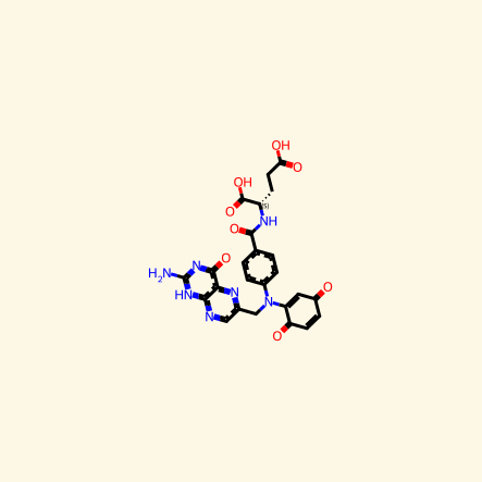 Nc1nc(=O)c2nc(CN(C3=CC(=O)C=CC3=O)c3ccc(C(=O)N[C@@H](CCC(=O)O)C(=O)O)cc3)cnc2[nH]1